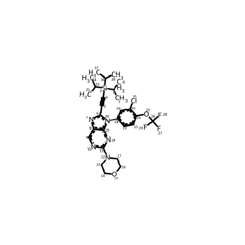 CC(C)[Si](C#Cc1nc2cnc(N3CCOCC3)nc2n1-c1ccc(OC(F)(F)F)c(Cl)c1)(C(C)C)C(C)C